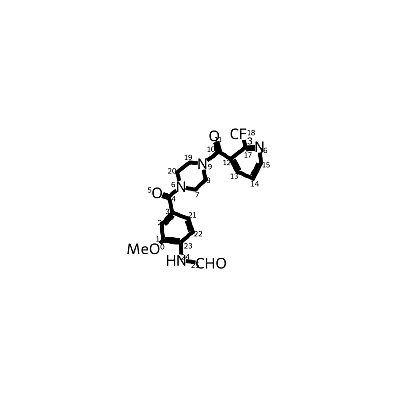 COc1cc(C(=O)N2CCN(C(=O)c3cccnc3C(F)(F)F)CC2)ccc1NC=O